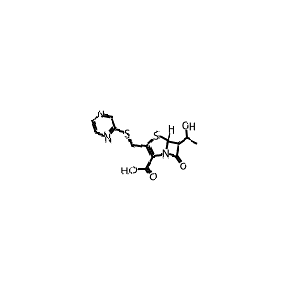 CC(O)C1C(=O)N2C(C(=O)O)=C(CSc3cnccn3)S[C@H]12